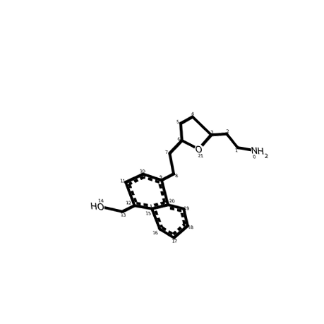 NCCC1CCC(CCc2ccc(CO)c3ccccc23)O1